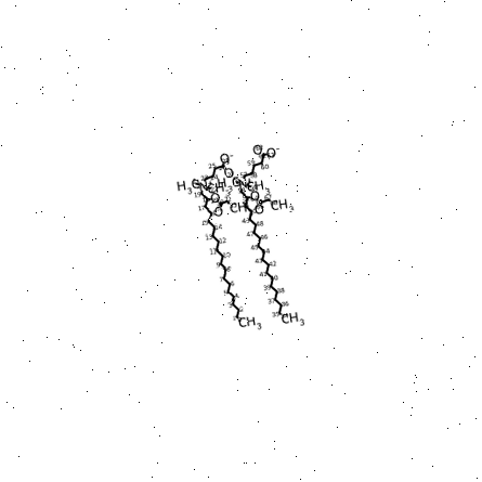 CCCCCCCCCCCCCCCCCCC(C[N+](C)(C)CCCC(=O)[O-])OC(=O)CC.CCCCCCCCCCCCCCCCCCC(C[N+](C)(C)CCCCC(=O)[O-])OC(=O)CC